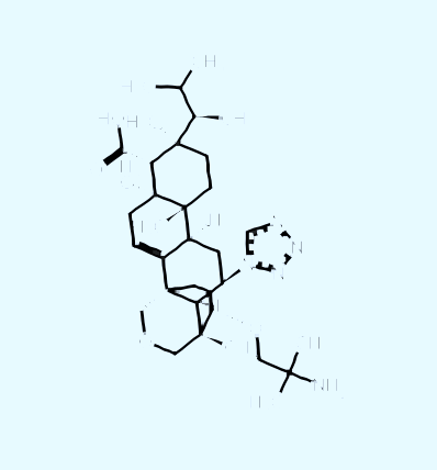 CC(C)[C@@H](C)[C@@]1(C)CC[C@]2(C)[C@H]3CC[C@@H]4[C@@]5(COC[C@@]4(C)[C@@H](OCC(C)(C)N)[C@H](n4cnnn4)C5)C3=CC[C@@]2(C)[C@@H]1C(=O)O